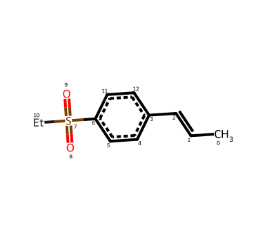 CC=Cc1ccc(S(=O)(=O)CC)cc1